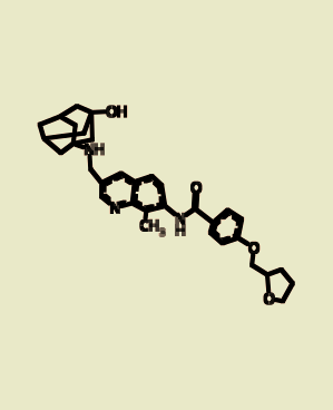 Cc1c(NC(=O)c2ccc(OCC3CCCO3)cc2)ccc2cc(CNC34CC5CC(CC(O)(C5)C3)C4)cnc12